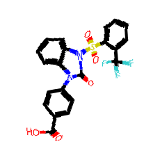 O=C(O)c1ccc(-n2c(=O)n(S(=O)(=O)c3ccccc3C(F)(F)F)c3ccccc32)cc1